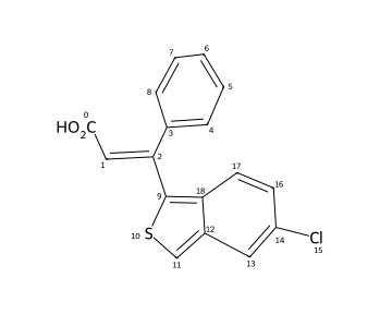 O=C(O)/C=C(\c1ccccc1)c1scc2cc(Cl)ccc12